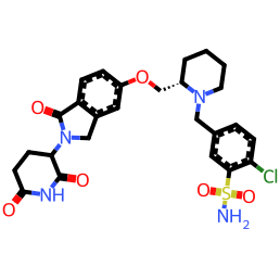 NS(=O)(=O)c1cc(CN2CCCC[C@H]2COc2ccc3c(c2)CN(C2CCC(=O)NC2=O)C3=O)ccc1Cl